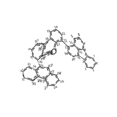 c1ccc2c(c1)-c1cccc3c(-c4cccc5c4oc4c(-c6cc7ccccc7c7ccccc67)cccc45)ccc-2c13